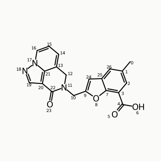 Cc1cc(C(=O)O)c2oc(CN3Cc4cccn5ncc(c45)C3=O)cc2c1